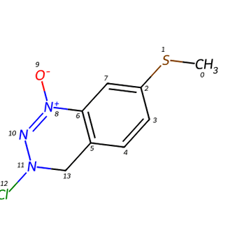 CSc1ccc2c(c1)[N+]([O-])=NN(Cl)C2